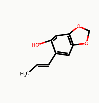 CC=Cc1cc2c(cc1O)OCO2